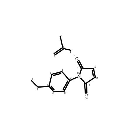 C=C(C)C.CCc1ccc(N2C(=O)C=CC2=O)cc1